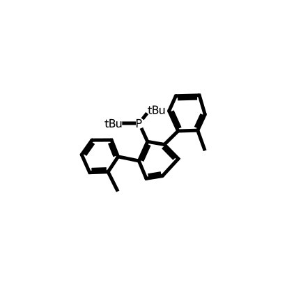 Cc1ccccc1-c1cccc(-c2ccccc2C)c1P(C(C)(C)C)C(C)(C)C